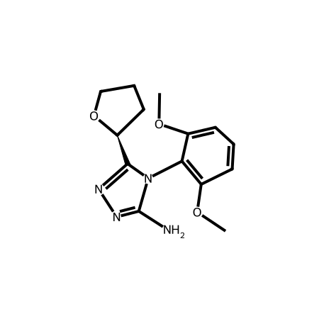 COc1cccc(OC)c1-n1c(N)nnc1[C@@H]1CCCO1